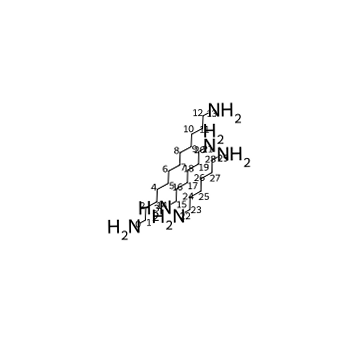 NCCCCCCCCCCCCN.NCCCCCCN.NCCCCCCN